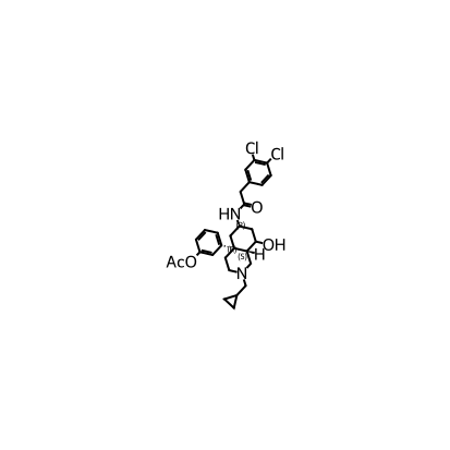 CC(=O)Oc1cccc([C@@]23CCN(CC4CC4)C[C@H]2C(O)C[C@H](NC(=O)Cc2ccc(Cl)c(Cl)c2)C3)c1